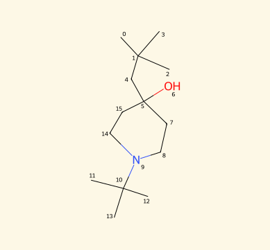 CC(C)(C)CC1(O)CCN(C(C)(C)C)CC1